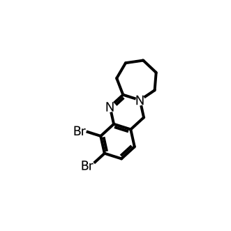 Brc1ccc2c(c1Br)N=C1CCCCCN1C2